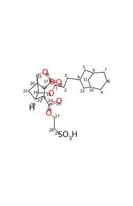 O=C(CCC1CC2CCCC(C2)C1)OC1C2OC(=O)C3C2C[C@@H]1C3C(=O)OCCS(=O)(=O)O